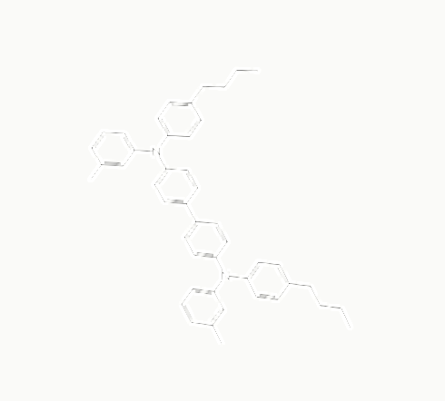 CCCCc1ccc(N(c2ccc(-c3ccc(N(c4ccc(CCCC)cc4)c4cccc(C)c4)cc3)cc2)c2cccc(C)c2)cc1